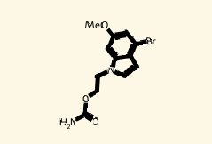 COc1cc(Br)c2ccn(CCOC(N)=O)c2c1